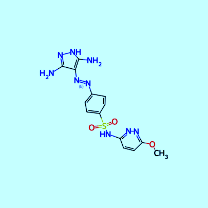 COc1ccc(NS(=O)(=O)c2ccc(/N=N/c3c(N)n[nH]c3N)cc2)nn1